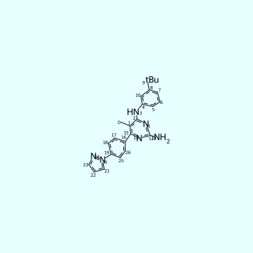 Cc1c(Nc2cccc(C(C)(C)C)c2)nc(N)nc1-c1ccc(-n2cccn2)cc1